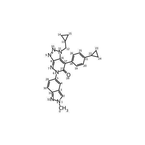 Cn1cc2cc(-n3nc4nnn(CC5CC5)c4c(-c4ccc(C5CC5)cc4)c3=O)ccc2n1